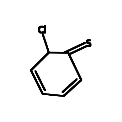 S=C1C=CC=CC1Cl